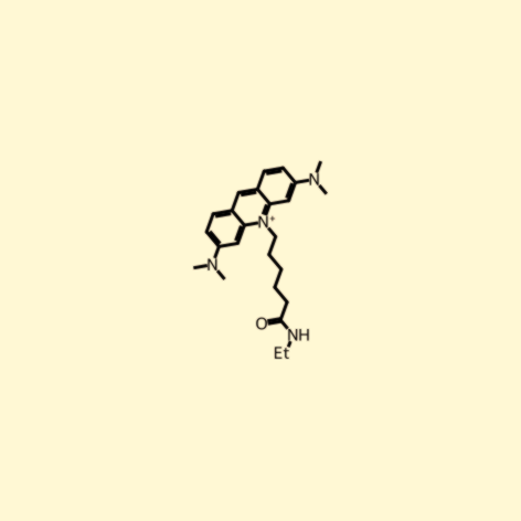 CCNC(=O)CCCCC[n+]1c2cc(N(C)C)ccc2cc2ccc(N(C)C)cc21